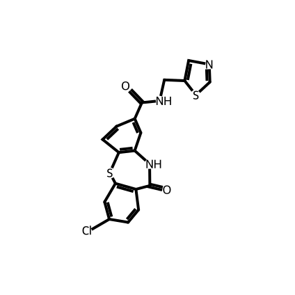 O=C(NCc1cncs1)c1ccc2c(c1)NC(=O)c1ccc(Cl)cc1S2